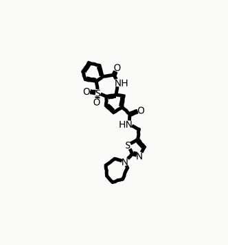 O=C(NCc1cnc(N2CCCCCC2)s1)c1ccc2c(c1)NC(=O)c1ccccc1S2(=O)=O